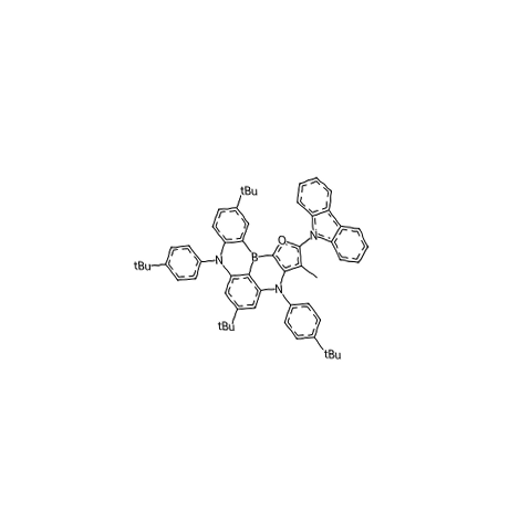 Cc1c(-n2c3ccccc3c3ccccc32)oc2c1N(c1ccc(C(C)(C)C)cc1)c1cc(C(C)(C)C)cc3c1B2c1cc(C(C)(C)C)ccc1N3c1ccc(C(C)(C)C)cc1